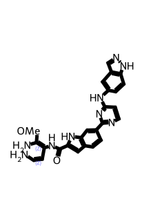 CO/C(N)=C(/C=C\N)NC(=O)c1cc2ccc(-c3nccc(Nc4ccc5[nH]ncc5c4)n3)cc2[nH]1